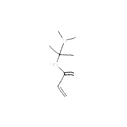 C=CC(=O)NC(C)(C)N(C)C